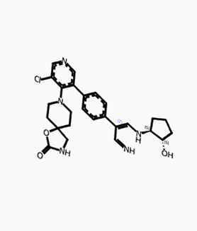 N=C/C(=C\N[C@H]1CCC[C@@H]1O)c1ccc(-c2cncc(Cl)c2N2CCC3(CC2)CNC(=O)O3)cc1